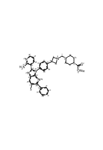 COC(=O)[C@H]1CC[C@@H](CN2CC(c3ccc(-n4c(-c5cccnc5N)nc5cc(C)c(-c6ccccc6)nc54)cc3)C2)CC1